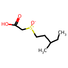 CCC(C)CC[S+]([O-])CC(=O)O